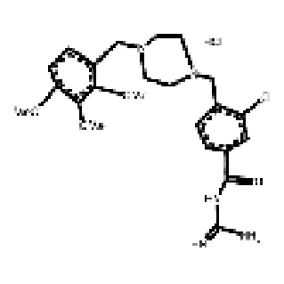 COc1ccc(CN2CCN(Cc3ccc(C(=O)NC(=N)N)cc3Cl)CC2)c(OC)c1OC.Cl